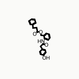 O=C(Cc1ccc(O)cc1)Nc1ccccc1COC(=O)CCc1ccccc1